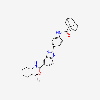 CC1CCCCC1NC(=O)c1ccc2[nH]c(-c3ccc(NC(=O)C45CC6CC(CC(C6)C4)C5)cc3)nc2c1